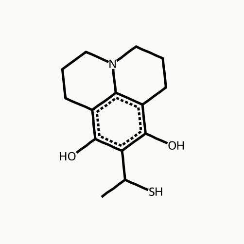 CC(S)c1c(O)c2c3c(c1O)CCCN3CCC2